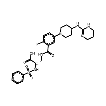 O=C(NC[C@H](NS(=O)(=O)c1ccccc1)C(=O)O)c1cc(N2CCC(NC3=NCCCN3)CC2)ccc1F